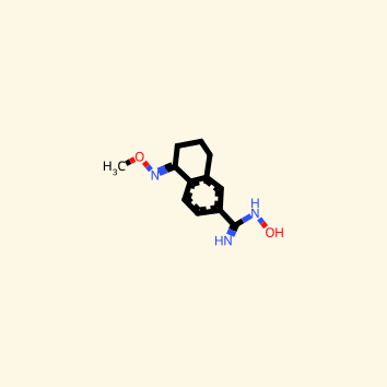 CON=C1CCCc2cc(C(=N)NO)ccc21